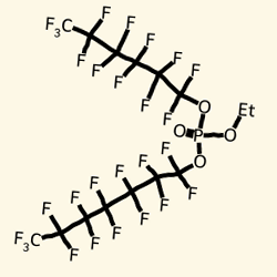 CCOP(=O)(OC(F)(F)C(F)(F)C(F)(F)C(F)(F)C(F)(F)C(F)(F)F)OC(F)(F)C(F)(F)C(F)(F)C(F)(F)C(F)(F)C(F)(F)C(F)(F)F